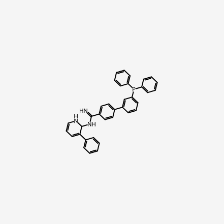 N=C(NC1NC=CC=C1c1ccccc1)c1ccc(-c2cccc(P(c3ccccc3)c3ccccc3)c2)cc1